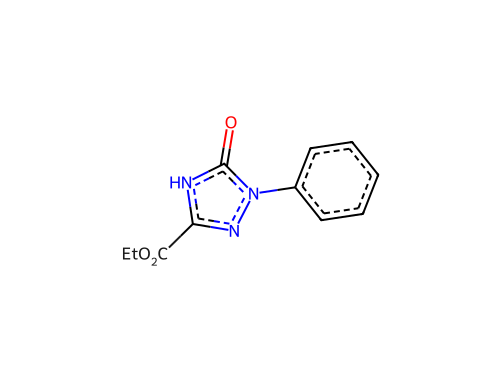 CCOC(=O)c1nn(-c2ccccc2)c(=O)[nH]1